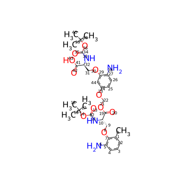 Cc1cccc(N)c1OC[C@H](NC(=O)OC(C)(C)C)C(=O)OCOc1ccc(N)c(OC[C@H](NC(=O)OC(C)(C)C)C(=O)O)c1